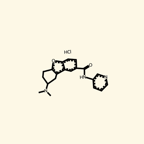 CN(C)C1CCc2oc3ccc(C(=O)Nc4cccnc4)cc3c2C1.Cl